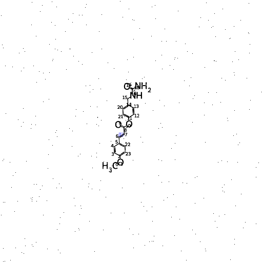 COc1ccc(/C=C/C(=O)Oc2ccc(CNC(N)=O)cc2)cc1